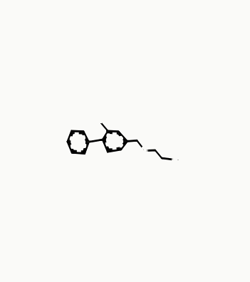 OCCNCc1ccc(-c2ccccc2)c(Cl)c1